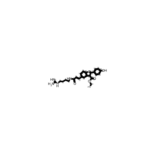 N=C(N)NCCCCNC(=O)/C=C/c1ccc2c(c1)C(C(=O)OCI)C(c1ccc(O)cc1)O2